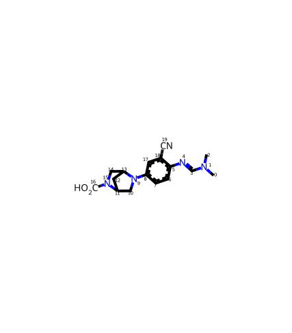 CN(C)C=Nc1ccc(N2CC3CC2CN3C(=O)O)cc1C#N